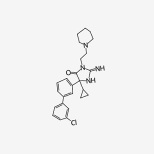 N=C1NC(c2cccc(-c3cccc(Cl)c3)c2)(C2CC2)C(=O)N1CCN1CCCCC1